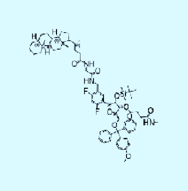 CNC(=O)CCC(=O)O[C@@H]1C(O[Si](C)(C)C(C)(C)C)[C@H](c2cc(CNC(=O)CNC(=O)CC[C@@H](C)C3CC[C@@H]4C5CC[C@H]6CCCC[C@@]6(C)[C@@H]5CC[C@@]34C)c(F)cc2F)O[C@@H]1COC(c1ccccc1)(c1ccccc1)c1ccc(OC)cc1